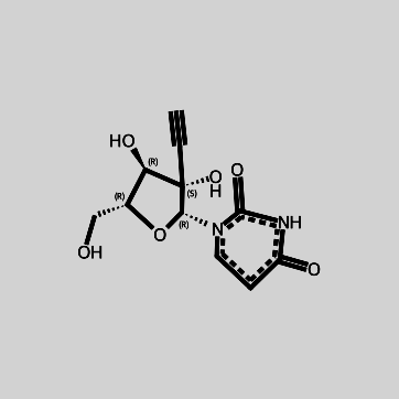 C#C[C@]1(O)[C@H](O)[C@@H](CO)O[C@H]1n1ccc(=O)[nH]c1=O